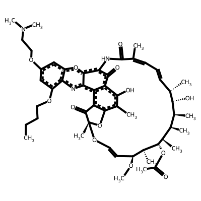 CCCCOc1cc(OCCN(C)C)cc2oc3c4c(=O)c5c(O)c(C)c6c(c5c-3nc12)C(=O)[C@@](C)(O/C=C/[C@H](OC)[C@@H](C)[C@@H](OC(C)=O)[C@H](C)[C@H](C)[C@H](C)[C@@H](O)[C@@H](C)/C=C/C=C(/C)C(=O)N4)O6